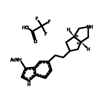 CC(=O)Nc1c[nH]c2ccc(CCC3C[C@H]4CNC[C@H]4C3)cc12.O=C(O)C(F)(F)F